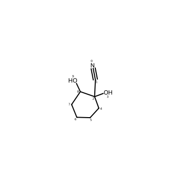 N#CC1(O)CCCCC1O